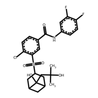 CC(C)(O)CC1(O)C2CC1CC(S(=O)(=O)c1cc(C(=O)Nc3ccc(F)c(F)c3)ccc1Cl)C2